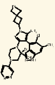 CC[C@@]1(C)CN(c2ccnnc2)CCN1c1nn(C2CC3(CNC3)C2)c(C)c1-c1c(Cl)c(C)cc2[nH]ncc12